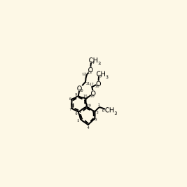 CCc1cccc2ccc(OCCOC)c(OCOC)c12